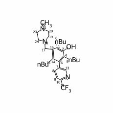 CCCCc1c(O)c(CCCC)c(-c2ccc(C(F)(F)F)nc2)c(CCCC)c1CN1CCN(C)CC1